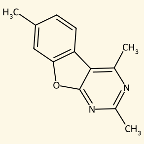 Cc1ccc2c(c1)oc1nc(C)nc(C)c12